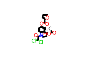 CC(=O)O.O=C(Oc1ccc2c(c1)CCCN2C(=O)C(Cl)Cl)c1ccco1